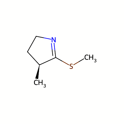 CSC1=NCC[C@@H]1C